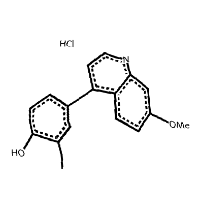 COc1ccc2c(-c3ccc(O)c(C)c3)ccnc2c1.Cl